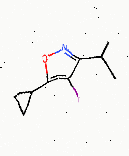 CC(C)c1noc(C2CC2)c1I